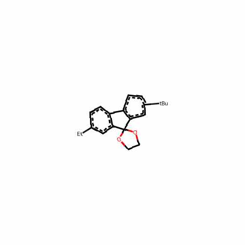 CCc1ccc2c(c1)C1(OCCO1)c1cc(C(C)(C)C)ccc1-2